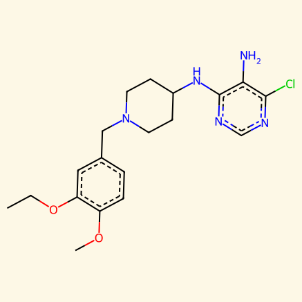 CCOc1cc(CN2CCC(Nc3ncnc(Cl)c3N)CC2)ccc1OC